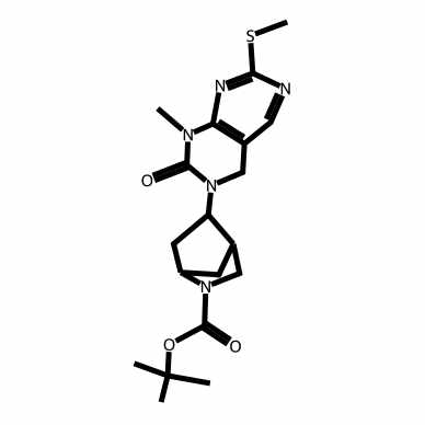 CSc1ncc2c(n1)N(C)C(=O)N(C1CC3CC1CN3C(=O)OC(C)(C)C)C2